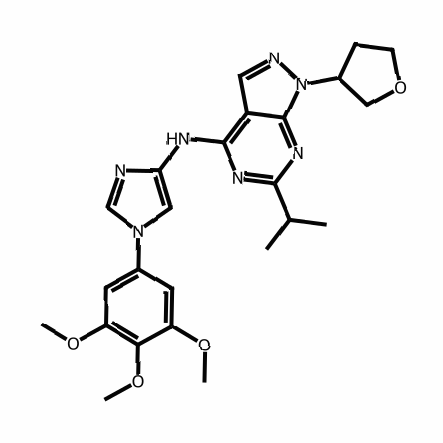 COc1cc(-n2cnc(Nc3nc(C(C)C)nc4c3cnn4C3CCOC3)c2)cc(OC)c1OC